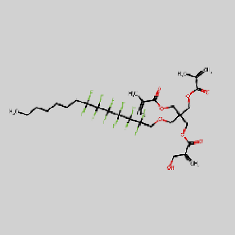 C=C(C)C(=O)OCC(COCC(F)(F)C(F)(F)C(F)(F)C(F)(F)C(F)(F)C(F)(F)CCCCCCC)(COC(=O)C(=C)C)COC(=O)C(=C)CO